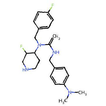 C=C(NCc1ccc(N(C)C)cc1)N(Cc1ccc(F)cc1)C1CCNCC1F